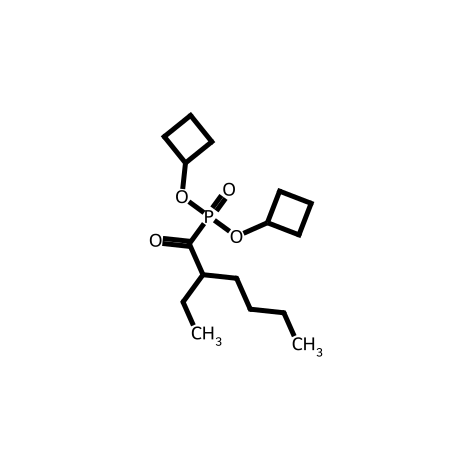 CCCCC(CC)C(=O)P(=O)(OC1CCC1)OC1CCC1